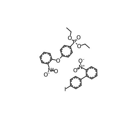 CCOP(=O)(OCC)c1ccc(Oc2ccccc2[N+](=O)[O-])cc1.O=[N+]([O-])c1ccccc1-c1ccc(I)cc1